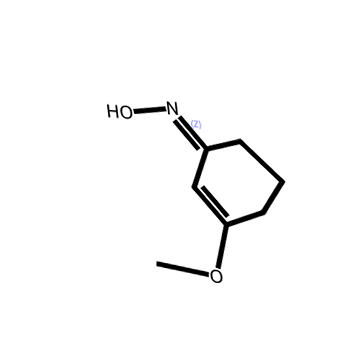 COC1=C/C(=N\O)CCC1